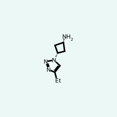 CCc1cn([C@H]2C[C@@H](N)C2)nn1